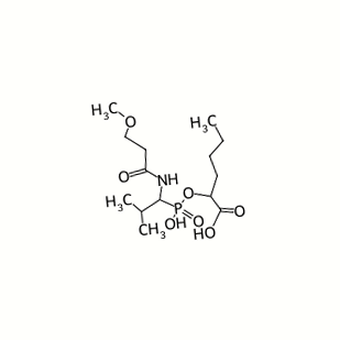 CCCCC(OP(=O)(O)C(NC(=O)CCOC)C(C)C)C(=O)O